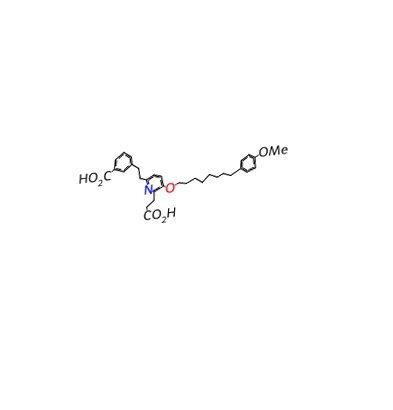 COc1ccc(CCCCCCCCOc2ccc(CCc3cccc(C(=O)O)c3)nc2CCC(=O)O)cc1